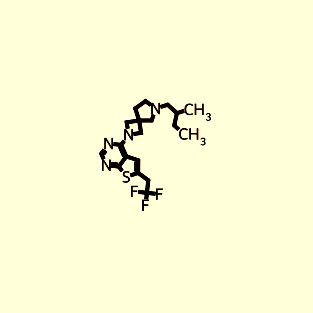 CCC(C)CN1CCC2(C1)CN(c1ncnc3sc(CC(F)(F)F)cc13)C2